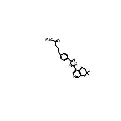 COC(=O)CCCc1ccc(-c2noc(-c3cncc4c3CCC(C)(C)C4)n2)cc1